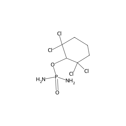 NP(N)(=O)OC1C(Cl)(Cl)CCCC1(Cl)Cl